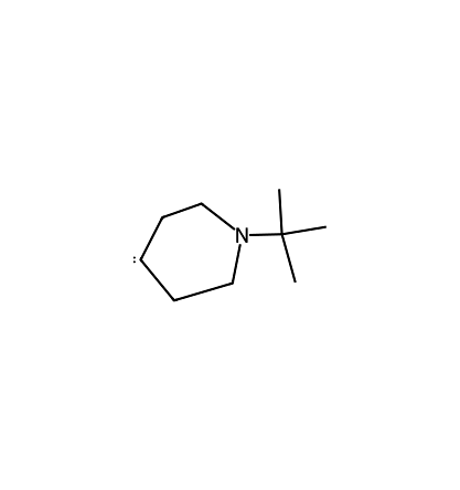 CC(C)(C)N1CC[C]CC1